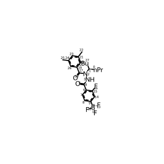 CCC[C@@H](N(NC(=O)c1ccc([B-](F)(F)F)cc1F)C(=O)c1cc(C)cc(C)c1)C(C)(C)C